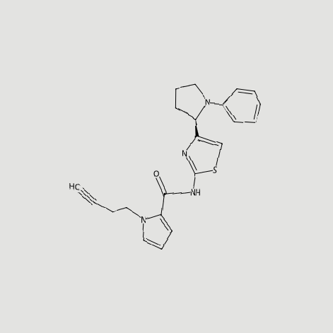 C#CCCn1cccc1C(=O)Nc1nc([C@H]2CCCN2c2ccccc2)cs1